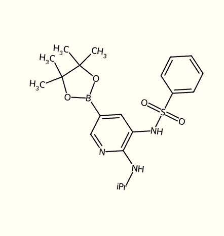 CC(C)Nc1ncc(B2OC(C)(C)C(C)(C)O2)cc1NS(=O)(=O)c1ccccc1